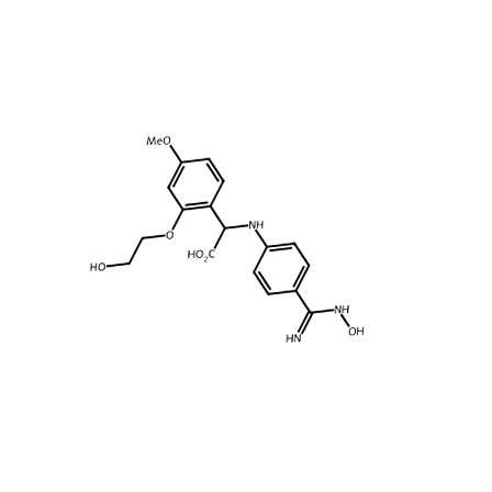 COc1ccc(C(Nc2ccc(C(=N)NO)cc2)C(=O)O)c(OCCO)c1